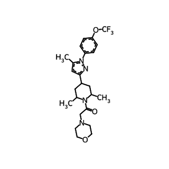 Cc1cc(C2CC(C)N(C(=O)CN3CCOCC3)C(C)C2)nn1-c1ccc(OC(F)(F)F)cc1